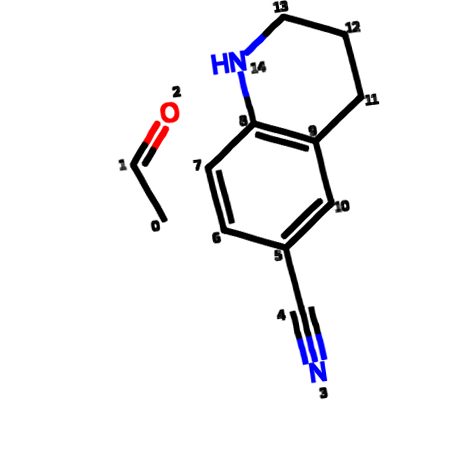 CC=O.N#Cc1ccc2c(c1)CCCN2